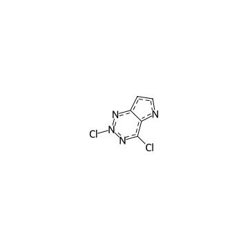 Clc1nn(Cl)nc2ccnc1-2